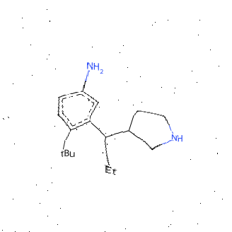 CCC(c1cc(N)ccc1C(C)(C)C)C1CCNC1